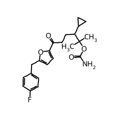 CC(C)(OC(N)=O)C(CCC(=O)c1ccc(Cc2ccc(F)cc2)o1)C1CC1